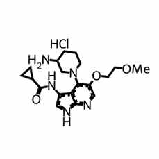 COCCOc1cnc2[nH]cc(NC(=O)C3CC3)c2c1N1CCCC(N)C1.Cl